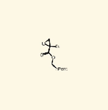 CCCCCCOC(=O)C1(CC)CO1